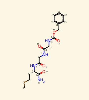 CSCC[C@H](NC(=O)CNC(=O)CNC(=O)OCc1ccccc1)C(N)=O